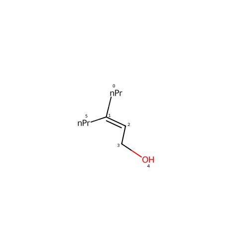 CCCC(=CCO)CCC